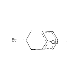 CCC1Cc2cc(C)cc(c2O)C1